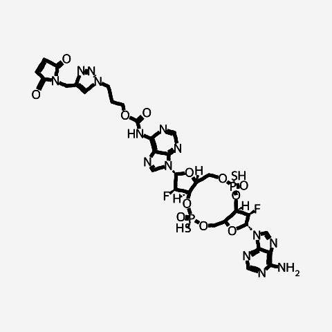 Nc1ncnc2c1ncn2[C@@H]1OC2CO[P@@](=O)(S)O[C@H]3[C@@H](F)[C@H](n4cnc5c(NC(=O)OCCCn6cc(CN7C(=O)C=CC7=O)nn6)ncnc54)O[C@@H]3CO[P@@](=O)(S)O[C@H]2[C@H]1F